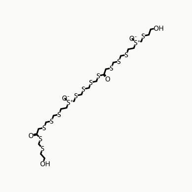 O=C(CSCSCSCC[S+]([O-])CSCSCSCSC(=O)CSCSCSCC[S+]([O-])CSCCO)SCSCCO